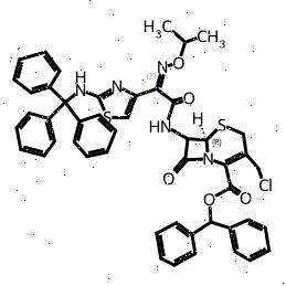 CC(C)O/N=C(\C(=O)NC1C(=O)N2C(C(=O)OC(c3ccccc3)c3ccccc3)=C(CCl)CS[C@H]12)c1csc(NC(c2ccccc2)(c2ccccc2)c2ccccc2)n1